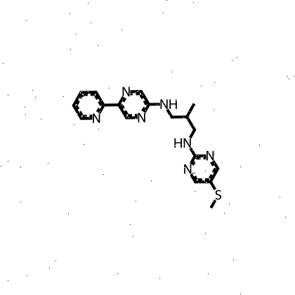 CSc1cnc(NCC(C)CNc2cnc(-c3ccccn3)cn2)nc1